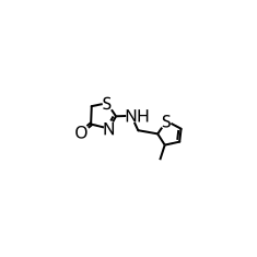 CC1C=CSC1CNC1=NC(=O)CS1